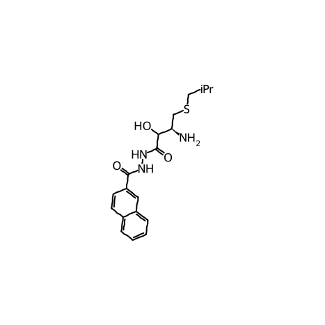 CC(C)CSC[C@@H](N)C(O)C(=O)NNC(=O)c1ccc2ccccc2c1